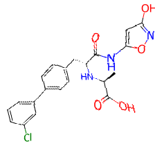 C[C@H](N[C@H](Cc1ccc(-c2cccc(Cl)c2)cc1)C(=O)Nc1cc(O)no1)C(=O)O